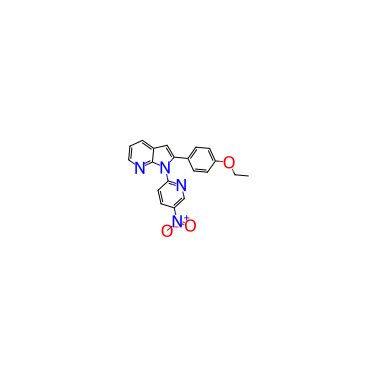 CCOc1ccc(-c2cc3cccnc3n2-c2ccc([N+](=O)[O-])cn2)cc1